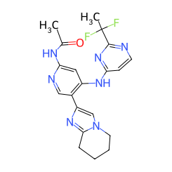 CC(=O)Nc1cc(Nc2ccnc(C(C)(F)F)n2)c(-c2cn3c(n2)CCCC3)cn1